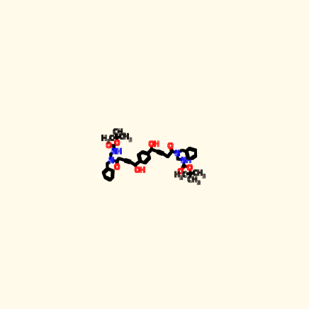 CC(C)(C)OC(=O)NCN(Cc1ccccc1)C(=O)CC#CC(O)c1ccc(C(O)C#CCC(=O)N(CNC(=O)OC(C)(C)C)Cc2ccccc2)cc1